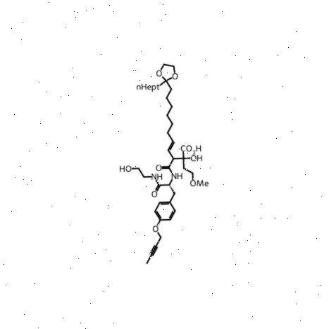 CC#CCOc1ccc(C[C@H](NC(=O)C(/C=C/CCCCCCC2(CCCCCCC)OCCO2)C(O)(CCOC)C(=O)O)C(=O)NCCO)cc1